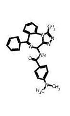 Cc1nnc2n1-c1ccccc1C(c1ccccc1)=NC2NC(=O)c1ccc(N(C)C)cc1